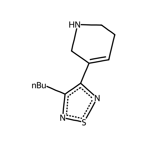 CCCCc1nsnc1C1=CCCNC1